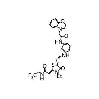 CCn1c(=O)c(=C=CNc2cccc(NC(=O)CN3CCOc4ccccc43)c2)s/c1=C\C(=O)NCC(F)(F)F